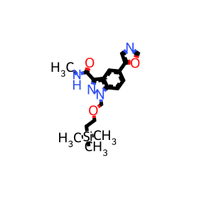 CNC(=O)c1nn(COCC[Si](C)(C)C)c2ccc(-c3cnco3)cc12